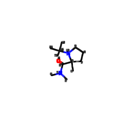 CN(C)C(=O)C1(C)CCCN1C(C)(C)C